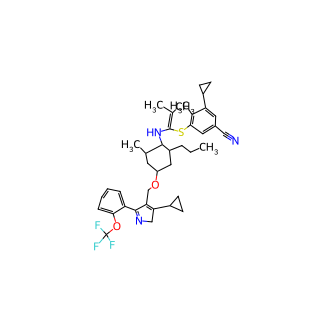 CCCC1CC(OCC2=C(C3CC3)CN=C2c2ccccc2OC(F)(F)F)CC(C)C1NC(Sc1cc(C#N)cc(C2CC2)c1C)=C(C)C